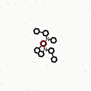 c1ccc(-c2cccc(N(c3ccccc3)c3ccc(-c4cccc5cccc(N(c6ccccc6)c6cccc(-c7ccccc7)c6)c45)cc3)c2)cc1